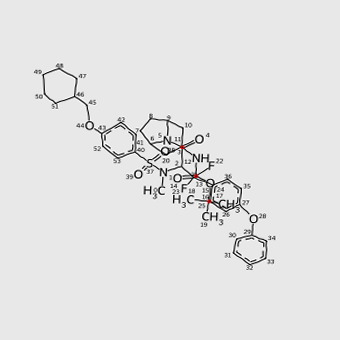 CN(C(C(=O)N1C2CCC1CC(NC(=O)OC(C)(C)C)C2)C(F)(F)c1ccc(Oc2ccccc2)cc1)S(=O)(=O)c1ccc(OCC2CCCCC2)cc1